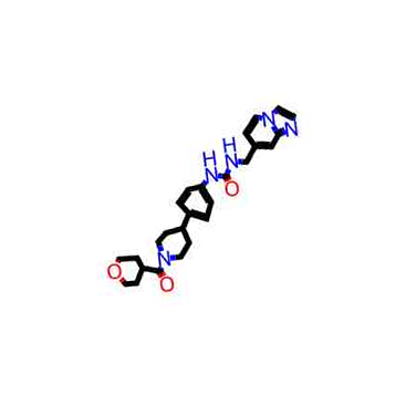 O=C(NCc1ccn2ccnc2c1)Nc1ccc(C2CCN(C(=O)C3CCOCC3)CC2)cc1